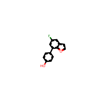 Oc1ccc(-c2cc(F)cc3ccoc23)cc1